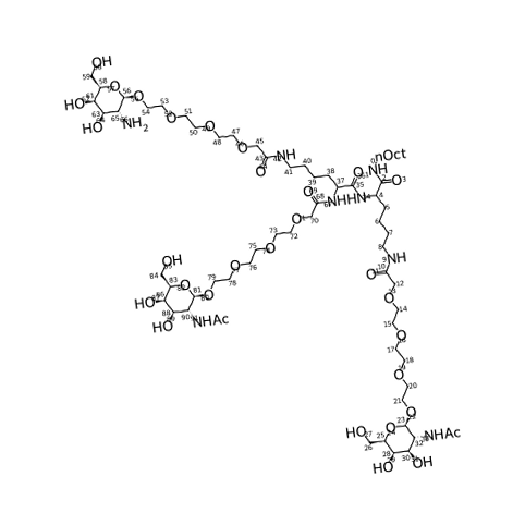 CCCCCCCCNC(=O)C(CCCCNC(=O)COCCOCCOCCO[C@@H]1O[C@H](CO)[C@H](O)[C@H](O)[C@H]1NC(C)=O)NC(=O)C(CCCCNC(=O)COCCOCCOCCO[C@@H]1O[C@H](CO)[C@H](O)[C@H](O)[C@H]1N)NC(=O)COCCOCCOCCO[C@@H]1O[C@H](CO)[C@H](O)[C@H](O)[C@H]1NC(C)=O